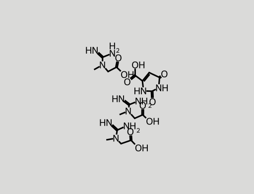 CN(CC(=O)O)C(=N)N.CN(CC(=O)O)C(=N)N.CN(CC(=O)O)C(=N)N.O=C(O)c1cc(=O)[nH]c(=O)[nH]1